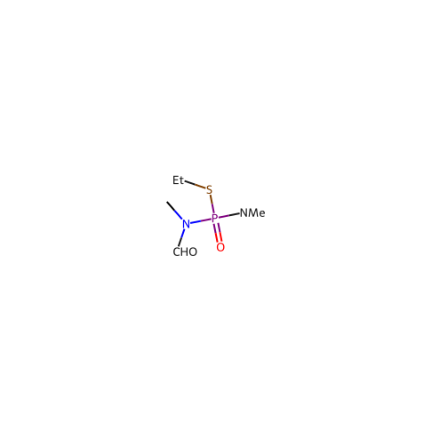 CCSP(=O)(NC)N(C)C=O